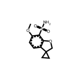 COc1ccc2c(c1S(N)(=O)=O)OCC21CC1